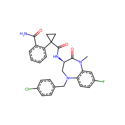 CN1C(=O)[C@H](NC(=O)C2(c3ccccc3C(N)=O)CC2)CN(Cc2ccc(Cl)cc2)c2ccc(F)cc21